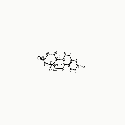 Cc1ccc2c(c1)CCC1C2CC[C@]2(C)OC(=O)CCC12